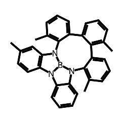 Cc1ccc2c(c1)N1B3N2c2ccccc2N3c2c(C)cccc2-c2c(C)cccc2-c2cccc(C)c21